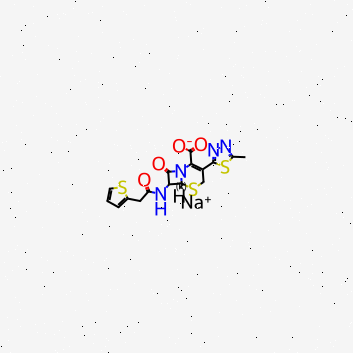 Cc1nnc(C2=C(C(=O)[O-])N3C(=O)C(NC(=O)Cc4cccs4)[C@H]3SC2)s1.[Na+]